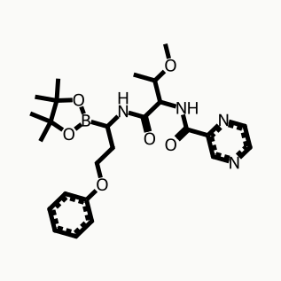 COC(C)C(NC(=O)c1cnccn1)C(=O)NC(CCOc1ccccc1)B1OC(C)(C)C(C)(C)O1